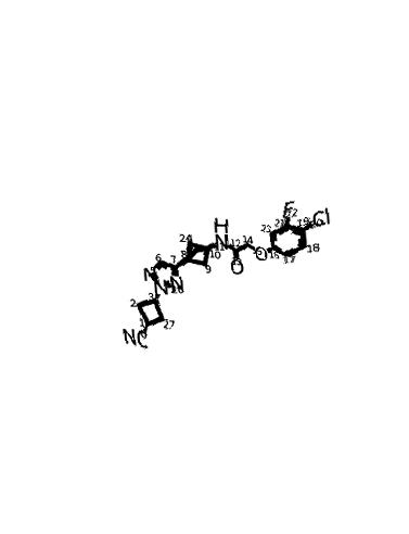 N#C[C@H]1C[C@@H](n2ncc(C34CC(NC(=O)COc5ccc(Cl)c(F)c5)(C3)C4)n2)C1